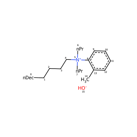 CCCCCCCCCCCCCC[N+](CCC)(CCC)c1ccccc1C.[OH-]